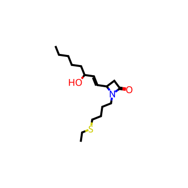 CCCCCC(O)/C=C/C1CC(=O)N1CCCCSCC